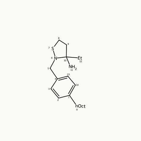 CCCCCCCCc1ccc(CN2SCCC2(N)CC)cc1